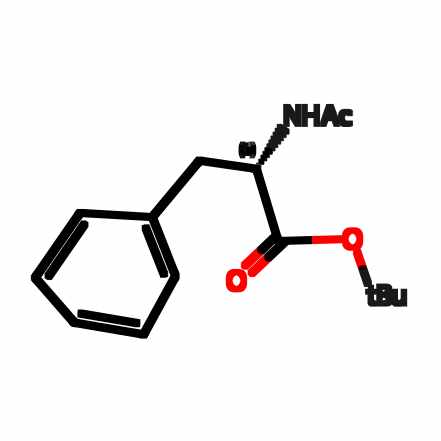 CC(=O)N[C@@H](Cc1ccccc1)C(=O)OC(C)(C)C